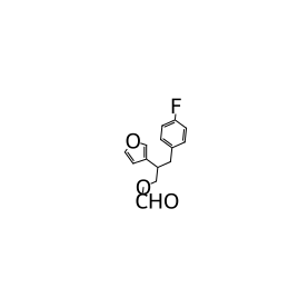 O=COCC(Cc1ccc(F)cc1)c1ccoc1